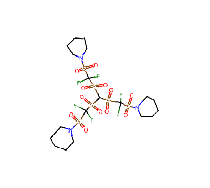 O=S(=O)(C(S(=O)(=O)C(F)(F)S(=O)(=O)N1CCCCC1)S(=O)(=O)C(F)(F)S(=O)(=O)N1CCCCC1)C(F)(F)S(=O)(=O)N1CCCCC1